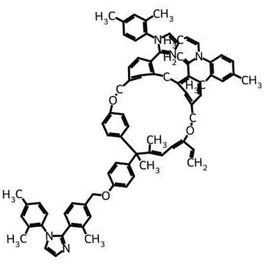 C=C/C1=C\C=C(/C)C(C)(c2ccc(OCc3ccc(-c4nccn4-c4ccc(C)cc4C)c(C)c3)cc2)c2ccc(cc2)OCc2ccc(-c3nccn3-c3ccc(C)cc3C)c(c2)Cc2cc(ccc2C(=C)N(/C=C\C)c2ccc(C)cc2C)CO1